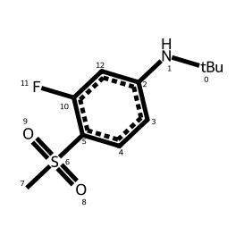 CC(C)(C)Nc1ccc(S(C)(=O)=O)c(F)c1